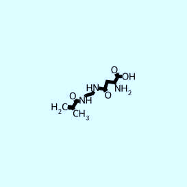 C=C(C)C(=O)NCCNC(=O)C[C@H](N)C(=O)O